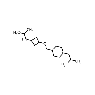 CC(C)CN1CCC(COC2CC(NC(C)C)C2)CC1